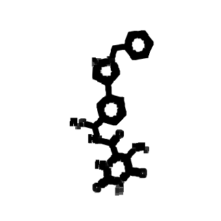 CC(NC(=O)c1[nH]c(=O)[nH]c(=O)c1N)c1cccc(-c2cnn(Cc3ccccc3)c2)c1